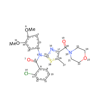 COc1ccc(N(C(=O)c2ccccc2Cl)c2nc(C(=O)N3CCOCC3)c(C)s2)cc1OC